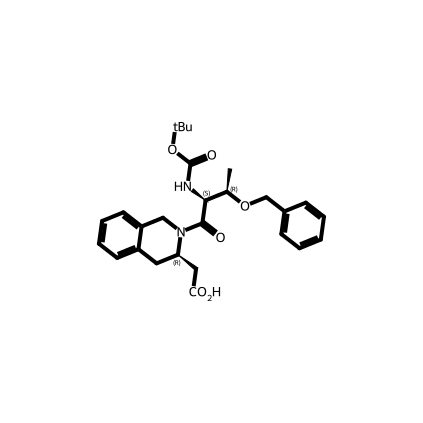 C[C@@H](OCc1ccccc1)[C@H](NC(=O)OC(C)(C)C)C(=O)N1Cc2ccccc2C[C@@H]1CC(=O)O